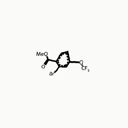 COC(=O)c1ccc(OC(F)(F)F)cc1Br